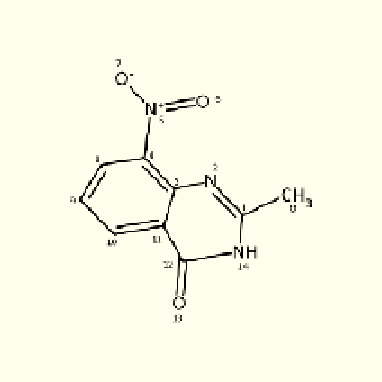 Cc1nc2c([N+](=O)[O-])cccc2c(=O)[nH]1